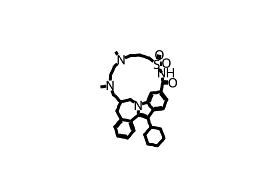 CN1CCCS(=O)(=O)NC(=O)c2ccc3c(C4CCCCC4)c4n(c3c2)CC(Cc2ccccc2-4)CN(C)CC1